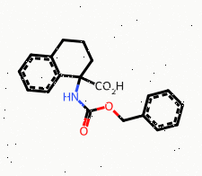 O=C(NC1(C(=O)O)CCCc2ccccc21)OCc1ccccc1